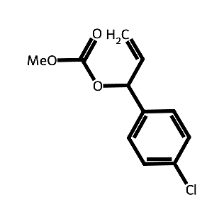 C=CC(OC(=O)OC)c1ccc(Cl)cc1